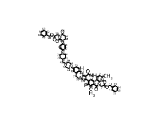 Cc1cccc(N(CC(=O)OCc2ccccc2)C(=O)c2ccc(-c3nn4c(c3C(N)=O)Nc3ccc(N5CCN(CC6CCN(c7ccc(N8CCC(=O)N(CC(=O)OCc9ccccc9)C8=O)cc7)CC6)CC5)cc3CC4)c(F)c2C)n1